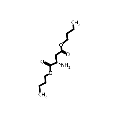 CCCCOC(=O)C[C@H](N)C(=O)OCCCC